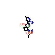 CCCS(=O)(=O)Nc1ccc(F)c(C(O)c2c[nH]c3ncc(C)cc23)c1F